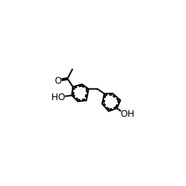 CC(=O)c1cc(Cc2ccc(O)cc2)ccc1O